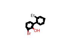 CCc1ccccc1-c1cccc(Br)c1O